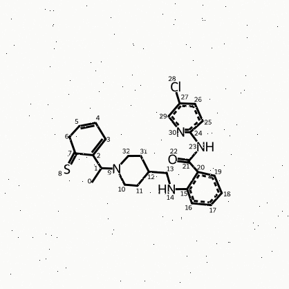 CC(C1=CC=CCC1=S)N1CCC(CNc2ccccc2C(=O)Nc2ccc(Cl)cn2)CC1